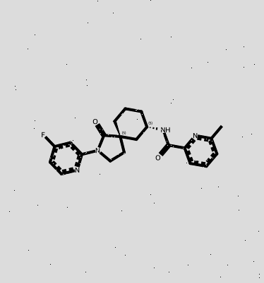 Cc1cccc(C(=O)N[C@H]2CCC[C@]3(CCN(c4cc(F)ccn4)C3=O)C2)n1